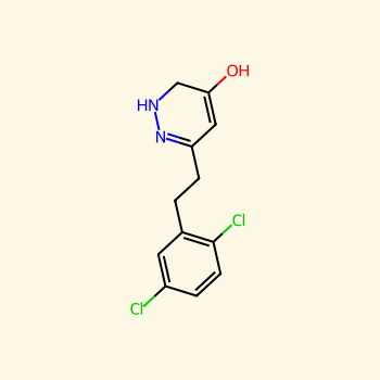 OC1=CC(CCc2cc(Cl)ccc2Cl)=NNC1